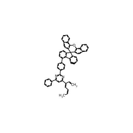 C=C/C(=C\C=C/C)c1cc(-c2ccccc2)nc(-c2ccc(-c3cccc4c3-c3c#cccc3C43c4ccc5ccccc5c4Oc4c3ccc3ccccc43)cc2)n1